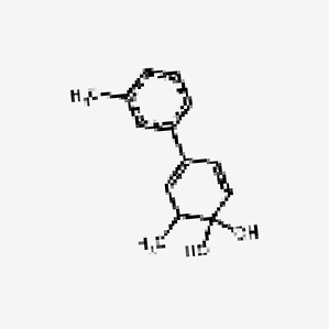 Cc1cccc(C2=CC(C)C(O)(O)C=C2)c1